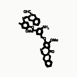 COc1cc2c(cc1OCc1cc(N)cc(COc3cc(/N=C\C4Cc5ccccc5CN4C=O)c(C)cc3OC)c1)N=CC1Cc3ccccc3CN1C2=O